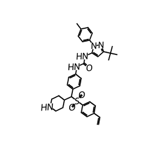 C=Cc1ccc(S(=O)(=O)C(c2ccc(NC(=O)Nc3cc(C(C)(C)C)nn3-c3ccc(C)cc3)cc2)C2CCNCC2)cc1